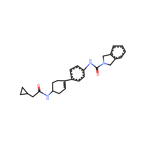 O=C(CC1CC1)NC1CC=C(c2ccc(NC(=O)N3Cc4ccccc4C3)cc2)CC1